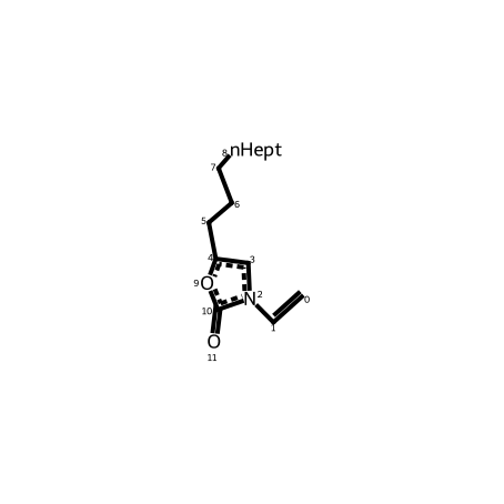 C=Cn1cc(CCCCCCCCCC)oc1=O